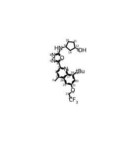 Cc1cc(-c2nnc(N[C@H]3CC[C@@H](O)C3)o2)nc2c(C(C)(C)C)cc(OCC(F)(F)F)cc12